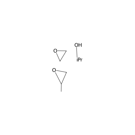 C1CO1.CC(C)O.CC1CO1